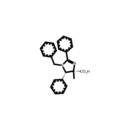 C[C@]1(C(=O)O)N=C(c2ccccc2)N(Cc2ccccc2)[C@H]1c1ccccc1